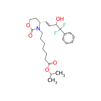 CC(C)OC(=O)CCCCCCN1C(=O)OCC[C@@H]1/C=C/C(O)C(F)(F)c1ccccc1